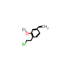 C=Cc1ccc(CCBr)c(OCC)c1